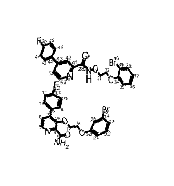 NC(=O)c1nccc(-c2ccc(F)cc2)c1OCCOc1cccc(Br)c1.O=C(NOCCOc1ccccc1Br)c1cc(-c2ccc(F)cc2)ccn1